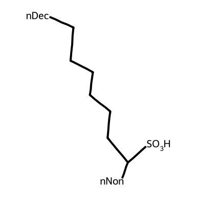 CCCCCCCCCCCCCCCCC(CCCCCCCCC)S(=O)(=O)O